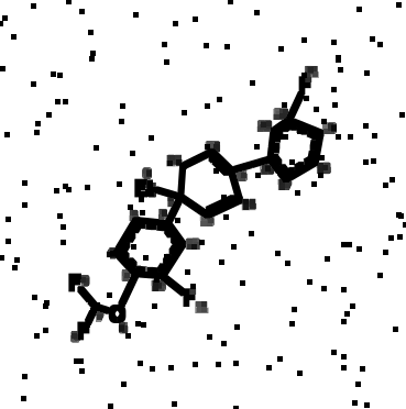 CCC1(c2ccc(OC(F)F)c(F)c2)C=CC(c2cccc(F)c2)=CC1